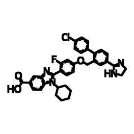 O=C(O)c1ccc2c(c1)nc(-c1ccc(OCc3cc(C4=NCCN4)ccc3-c3ccc(Cl)cc3)cc1F)n2C1CCCCC1